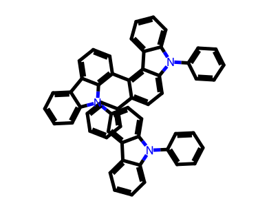 c1ccc(-c2ccc3c(c2-c2cccc4c5ccccc5n(-c5ccc6c(c5)c5ccccc5n6-c5ccccc5)c24)c2ccccc2n3-c2ccccc2)cc1